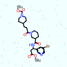 CC(C)(C)OC(=O)CC(NC(=O)C1CCCN(C(=O)CCC2CCN(C(=O)OC(C)(C)C)CC2)C1)c1cncc(Br)c1